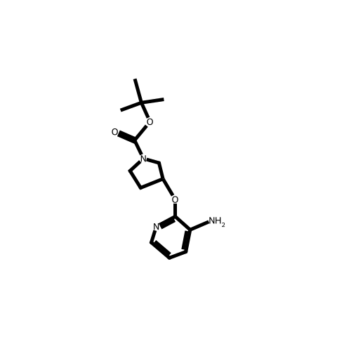 CC(C)(C)OC(=O)N1CCC(Oc2ncccc2N)C1